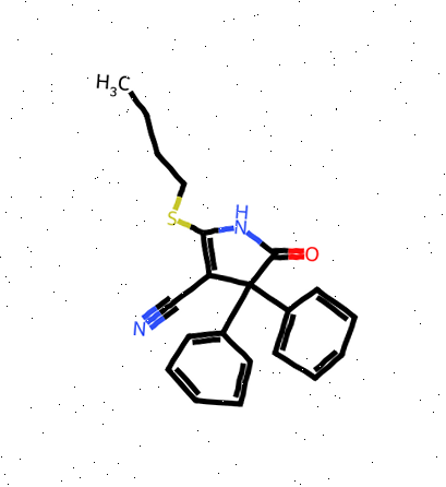 CCCCSC1=C(C#N)C(c2ccccc2)(c2ccccc2)C(=O)N1